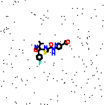 CC(C)c1noc(-c2ccc(F)cc2)c1-c1nc(C(=O)Nc2ccc(C3COC3)cn2)cs1